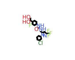 O=C(NCc1cc(C(F)(F)F)nn1-c1cccc(Cl)c1)Nc1ccc(C(O)CO)c(F)c1